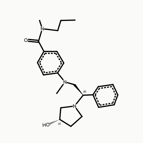 CCCN(C)C(=O)c1ccc(N(C)C[C@@H](c2ccccc2)N2CC[C@H](O)C2)cc1